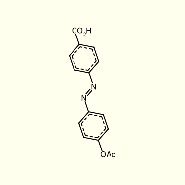 CC(=O)Oc1ccc(N=Nc2ccc(C(=O)O)cc2)cc1